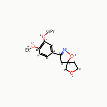 CCCOc1cc(C2=NOC3(CCOC3)C2)ccc1OCC